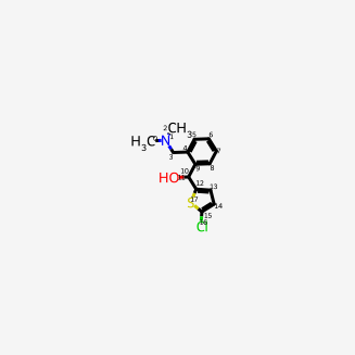 CN(C)Cc1ccccc1C(O)c1ccc(Cl)s1